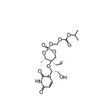 CC(C)OC(=O)OCOP1(=O)OC[C@@](CF)(O[C@H](CO)n2ccc(=O)[nH]c2=O)[C@H](C)O1